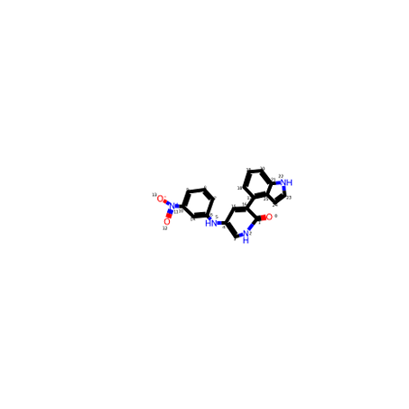 O=c1[nH]cc(Nc2cccc([N+](=O)[O-])c2)cc1-c1cccc2[nH]ccc12